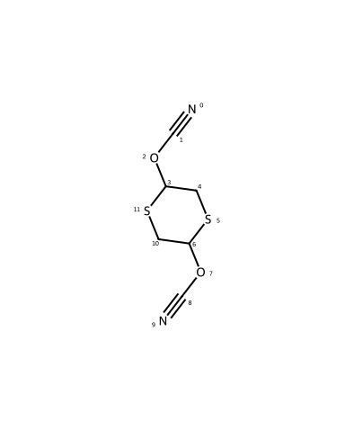 N#COC1CSC(OC#N)CS1